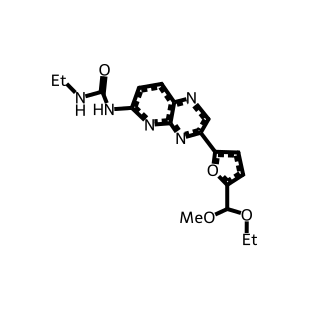 CCNC(=O)Nc1ccc2ncc(-c3ccc(C(OC)OCC)o3)nc2n1